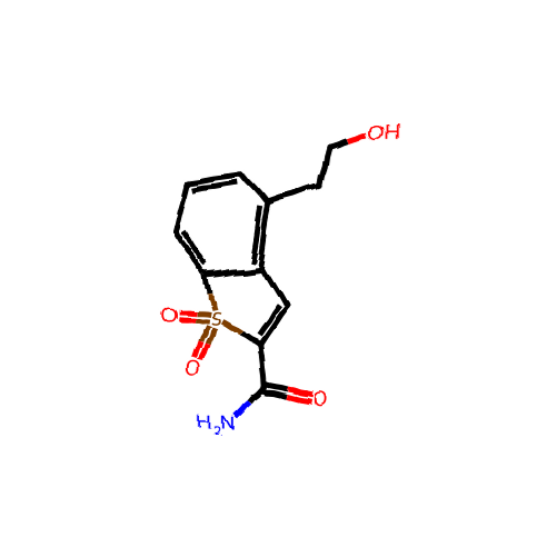 NC(=O)C1=Cc2c(CCO)cccc2S1(=O)=O